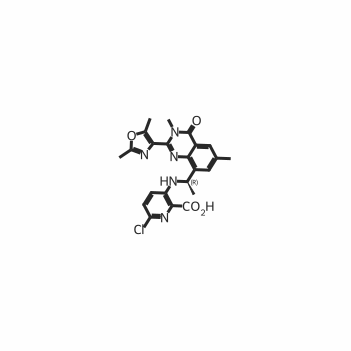 Cc1cc([C@@H](C)Nc2ccc(Cl)nc2C(=O)O)c2nc(-c3nc(C)oc3C)n(C)c(=O)c2c1